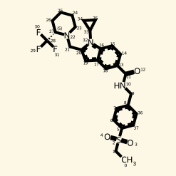 CCS(=O)(=O)c1ccc(CNC(=O)c2ccc3c(c2)cc(CN2CCCC[C@H]2C(F)(F)F)n3C2CC2)cc1